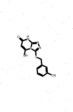 CCCc1cc(=O)[nH]c2nnc(SCc3cccc(C#N)c3)n12